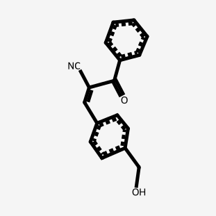 N#CC(=Cc1ccc(CO)cc1)C(=O)c1ccccc1